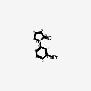 CC(C)c1cccc(N2CC=CC2=O)c1